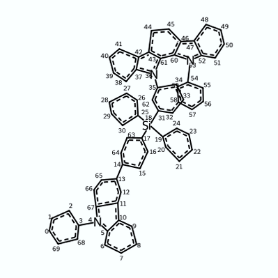 c1ccc(-n2c3ccccc3c3cc(-c4ccc([Si](c5ccccc5)(c5ccccc5)c5cccc(-n6c7ccccc7c7ccc8c9ccccc9n(-c9ccccc9)c8c76)c5)cc4)ccc32)cc1